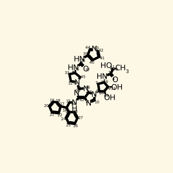 C[C@H](O)C(=O)N[C@H]1C[C@@H](n2cnc3c(NCC(c4ccccc4)c4ccccc4)nc(N4CC[C@@H](NC(=O)Nc5cccnc5)C4)nc32)[C@H](O)[C@@H]1O